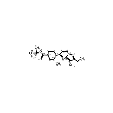 CCc1nn2ccc(N3CCN(C(=O)OC(C)(C)C)C[C@H]3C)nc2c1N